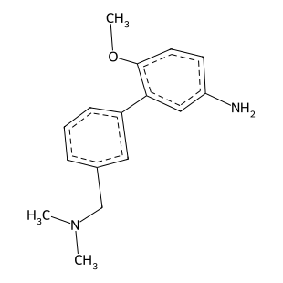 COc1ccc(N)cc1-c1cccc(CN(C)C)c1